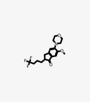 COc1cc2c(cc1N1CCOCC1)CC(CCCC(F)(F)F)C2=O